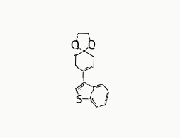 C1=C(c2csc3ccccc23)CCC2(C1)OCCO2